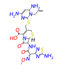 C=CCN1C(SCC2=C(C(=O)O)N3C(=O)C(NC(=O)/C(=N\OC)c4nsc(N)n4)[C@@H]3SC2)=NC(N)=CC1N